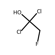 OC(Cl)(Cl)CF